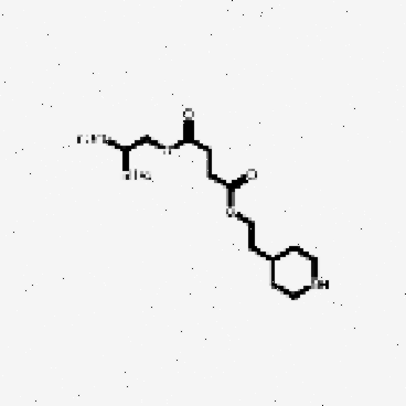 CCCCCCCCC(CCCCCC)COC(=O)CCC(=O)OCCC1CCNCC1